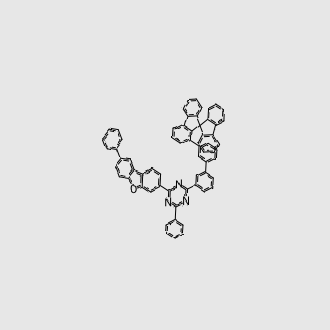 c1ccc(-c2ccc3oc4cc(-c5nc(-c6ccccc6)nc(-c6cccc(-c7cccc(-c8cccc9c8C8(c%10ccccc%10-c%10ccccc%108)c8ccccc8-9)c7)c6)n5)ccc4c3c2)cc1